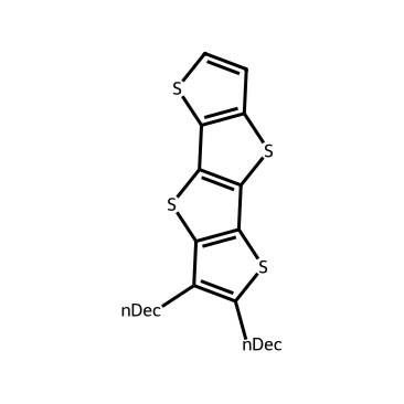 CCCCCCCCCCc1sc2c(sc3c4sccc4sc23)c1CCCCCCCCCC